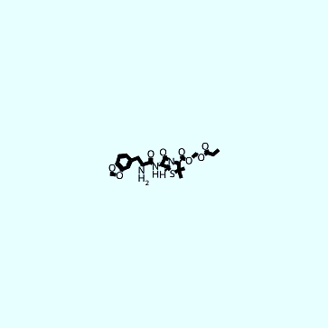 CCC(=O)OCOC(=O)[C@@H]1N2C(=O)[C@@H](NC(=O)C(N)Cc3ccc4c(c3)OCO4)[C@H]2SC1(C)C